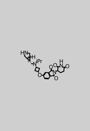 CC(C)N(C[C@@H]1C2CNC[C@@H]21)[C@H]1C[C@H](Oc2ccc3c(c2)C(=O)N(C2CCC(=O)NC2=O)C3=O)C1